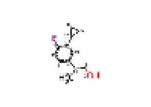 [CH2]C(CO)c1ccc(I)c(C2CC2)c1